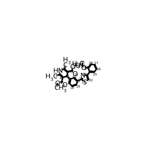 COC(=O)C1=C(C)NC(C)=C(C(=O)OC)C1c1cccc(-c2nc(-c3ccccc3OC)cs2)c1